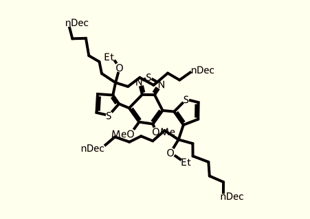 CCCCCCCCCCCCCCCC(CCCCCCCCCCCCCCC)(OCC)c1ccsc1-c1c(OC)c(OC)c(-c2sccc2C(CCCCCCCCCCCCCCC)(CCCCCCCCCCCCCCC)OCC)c2nsnc12